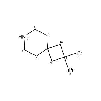 CC(C)C1(C(C)C)CC2(CCNCC2)C1